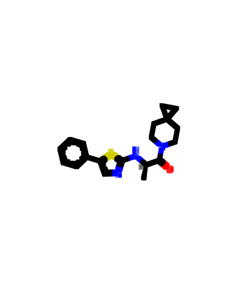 C[C@@H](Nc1ncc(-c2ccccc2)s1)C(=O)N1CCC2(CC1)CC2